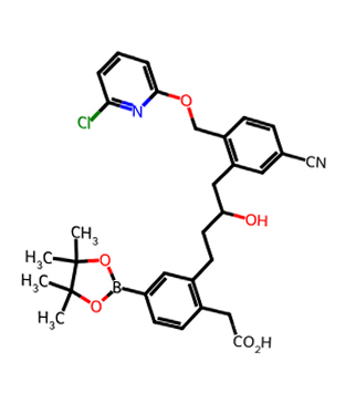 CC1(C)OB(c2ccc(CC(=O)O)c(CCC(O)Cc3cc(C#N)ccc3COc3cccc(Cl)n3)c2)OC1(C)C